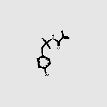 C=C(C)C(=O)NC(C)(C)Cc1ccc(C(C)=O)cc1